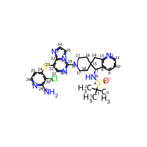 CC(C)(C)[S@+]([O-])N[C@@H]1c2cccnc2CC12CCN(c1ncc(Sc3ccnc(N)c3Cl)c3nccn13)CC2